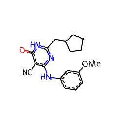 COc1cccc(Nc2nc(CC3CCCC3)[nH]c(=O)c2C#N)c1